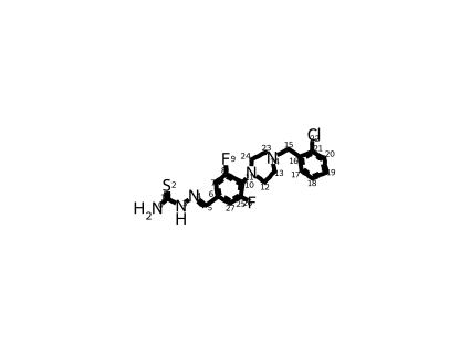 NC(=S)NN=Cc1cc(F)c(N2CCN(Cc3ccccc3Cl)CC2)c(F)c1